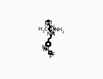 Cc1c(-c2ncco2)nc(N)n2nc(CCc3ccc4c(c3)nnn4C3CC(F)(F)C3)nc12